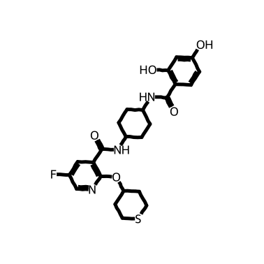 O=C(NC1CCC(NC(=O)c2cc(F)cnc2OC2CCSCC2)CC1)c1ccc(O)cc1O